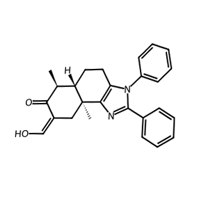 C[C@@H]1C(=O)/C(=C\O)C[C@]2(C)c3nc(-c4ccccc4)n(-c4ccccc4)c3CC[C@@H]12